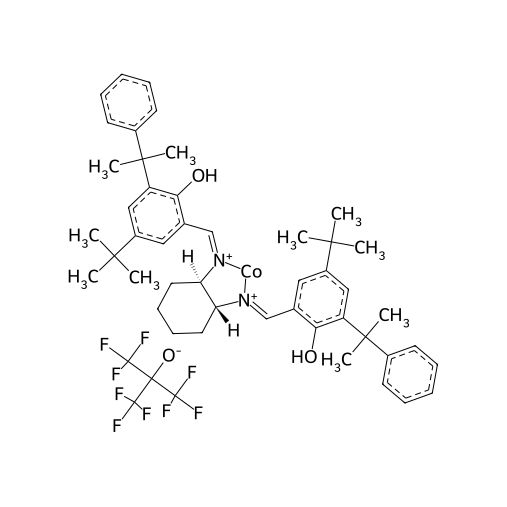 CC(C)(C)c1cc(C=[N+]2[Co][N+](=Cc3cc(C(C)(C)C)cc(C(C)(C)c4ccccc4)c3O)[C@@H]3CCCC[C@H]32)c(O)c(C(C)(C)c2ccccc2)c1.[O-]C(C(F)(F)F)(C(F)(F)F)C(F)(F)F